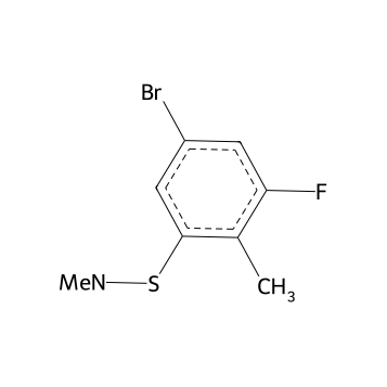 CNSc1cc(Br)cc(F)c1C